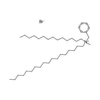 CCCCCCCCCCCCCCCCCC[N+](C)(CCCCCCCCCCCCCC)Cc1ccccc1.[Br-]